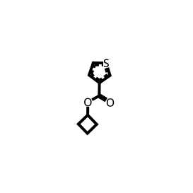 O=C(OC1CCC1)c1ccsc1